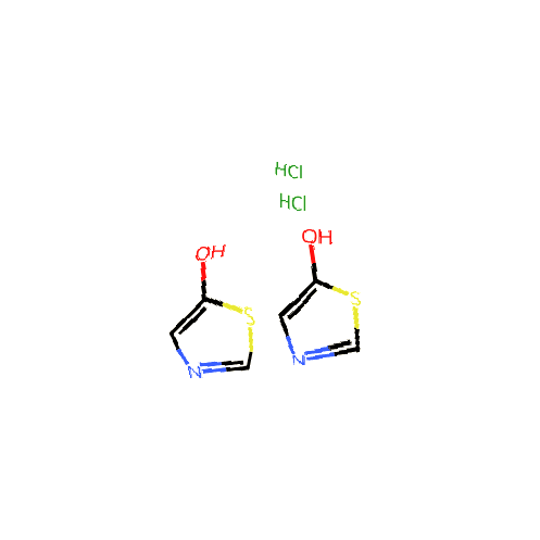 Cl.Cl.Oc1cncs1.Oc1cncs1